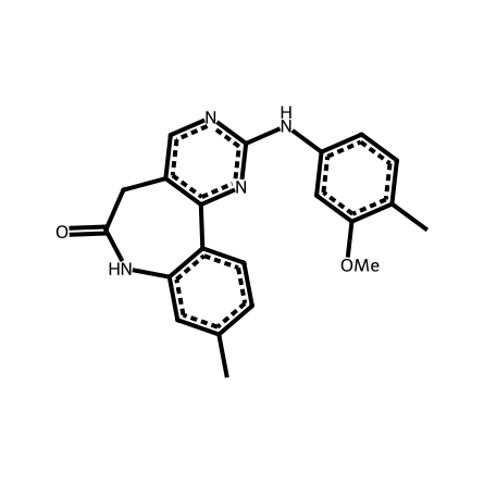 COc1cc(Nc2ncc3c(n2)-c2ccc(C)cc2NC(=O)C3)ccc1C